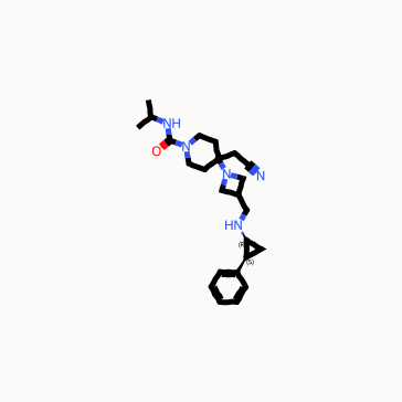 CC(C)NC(=O)N1CCC(CC#N)(N2CC(CN[C@@H]3C[C@H]3c3ccccc3)C2)CC1